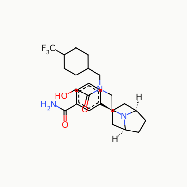 NC(=O)c1cccc([C@H]2C[C@H]3CC[C@@H](C2)N3CCN(CC2CCC(C(F)(F)F)CC2)C(=O)CO)c1